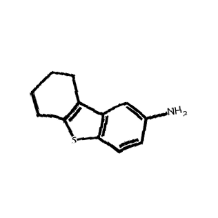 Nc1ccc2sc3c(c2c1)CCCC3